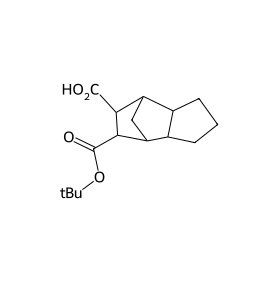 CC(C)(C)OC(=O)C1C2CC(C3CCCC32)C1C(=O)O